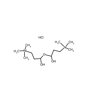 C[N+](C)(C)CCC(O)OC(O)CC[N+](C)(C)C.Cl